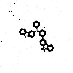 CC1(C)c2ccccc2-c2cc(-c3cccc(N(c4ccccc4)c4ccc5oc6ccccc6c5c4)c3)ccc21